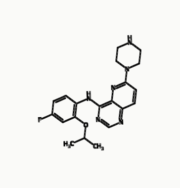 CC(C)Oc1cc(F)ccc1Nc1ncnc2ccc(N3CCNCC3)nc12